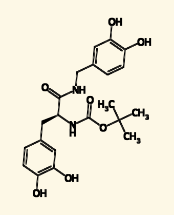 CC(C)(C)OC(=O)N[C@@H](Cc1ccc(O)c(O)c1)C(=O)NCc1ccc(O)c(O)c1